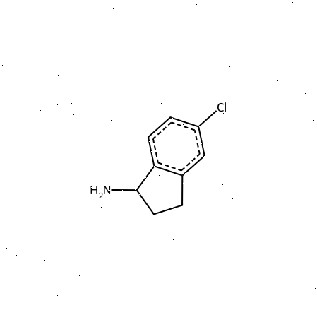 NC1CCc2cc(Cl)ccc21